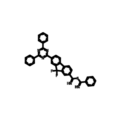 N=C(SC(=N)c1ccc2c(c1)C(F)(F)c1cc(-c3nc(-c4ccccc4)nc(-c4ccccc4)n3)ccc1-2)c1ccccc1